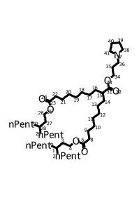 CCCCCC(CCCCC)CCOC(=O)CCCCCCCC(CCCCCCCC(=O)OCCC(CCCCC)CCCCC)C(=O)OCCCN1CCCC1